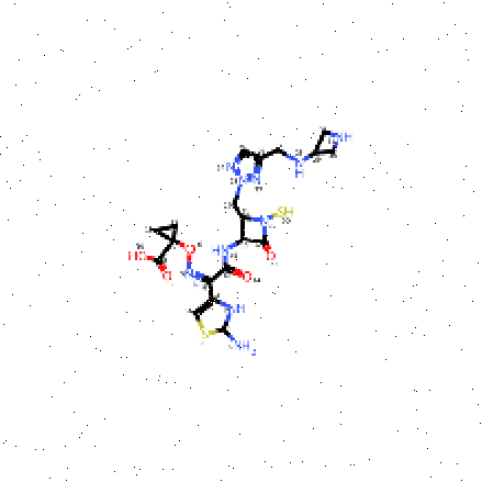 NC1NC(/C(=N/OC2(C(=O)O)CC2)C(=O)NC2C(=O)N(S)C2Cn2ncc(CNC3CNC3)n2)=CS1